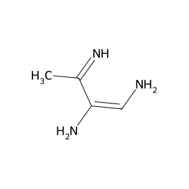 CC(=N)/C(N)=C\N